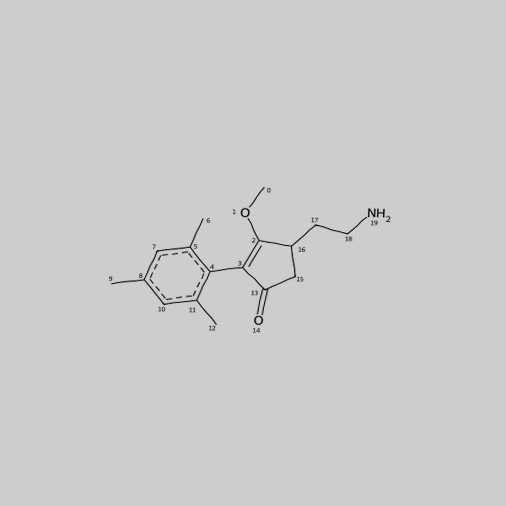 COC1=C(c2c(C)cc(C)cc2C)C(=O)CC1CCN